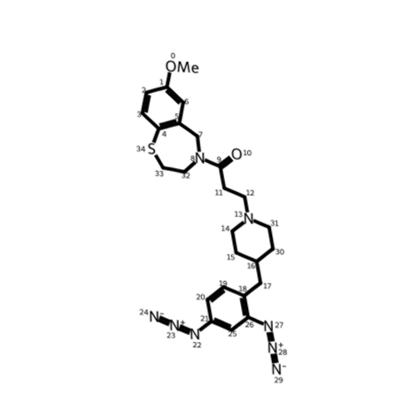 COc1ccc2c(c1)CN(C(=O)CCN1CCC(Cc3ccc(N=[N+]=[N-])cc3N=[N+]=[N-])CC1)CCS2